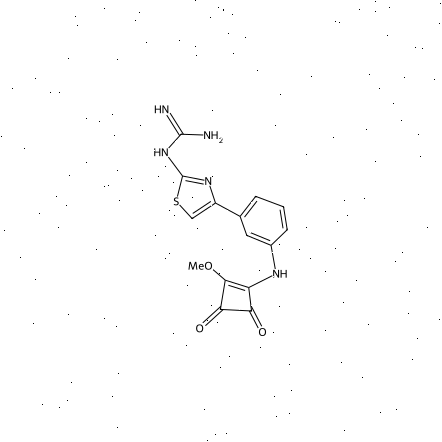 COc1c(Nc2cccc(-c3csc(NC(=N)N)n3)c2)c(=O)c1=O